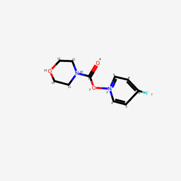 O=C(O[n+]1ccc(F)cc1)N1CCOCC1